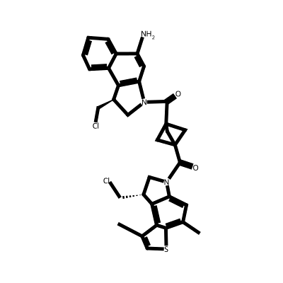 Cc1cc2c(c3c(C)csc13)[C@H](CCl)CN2C(=O)C12CC(C(=O)N3C[C@@H](CCl)c4c3cc(N)c3ccccc43)(C1)C2